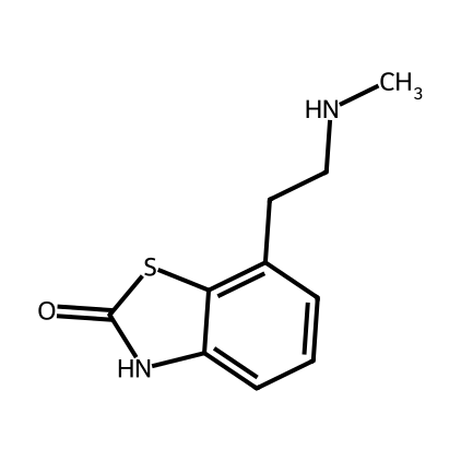 CNCCc1cccc2[nH]c(=O)sc12